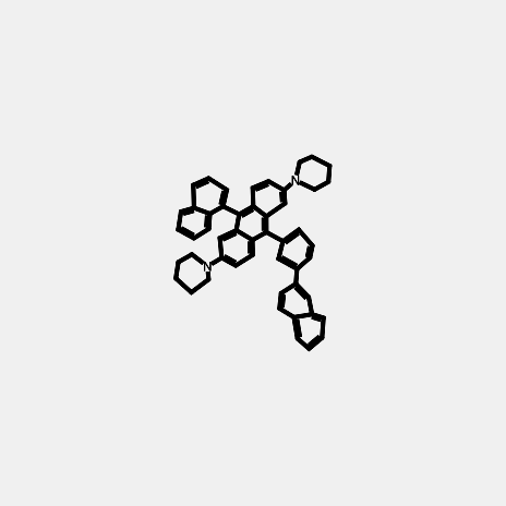 c1cc(-c2ccc3ccccc3c2)cc(-c2c3cc(N4CCCCC4)ccc3c(-c3cccc4ccccc34)c3cc(N4CCCCC4)ccc23)c1